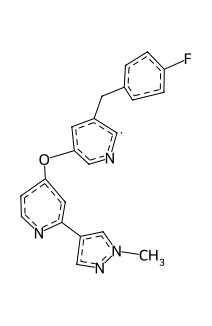 Cn1cc(-c2cc(Oc3cn[c]c(Cc4ccc(F)cc4)c3)ccn2)cn1